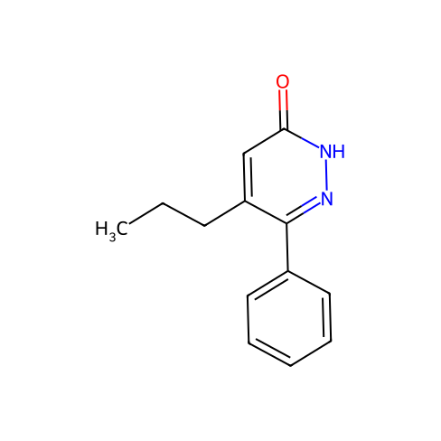 CCCc1cc(=O)[nH]nc1-c1ccccc1